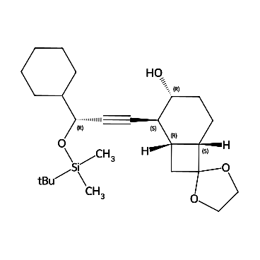 CC(C)(C)[Si](C)(C)O[C@@H](C#C[C@@H]1[C@H]2CC3(OCCO3)[C@H]2CC[C@H]1O)C1CCCCC1